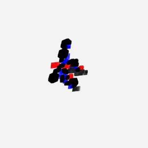 COC(=O)NCC(C)(C)CC(=O)NN(Cc1ccc(-c2ccccn2)cc1)CC(O)C(Cc1ccccc1)NC(=O)C(N1CCN(Cc2cccc(C(C)=O)n2)C1=O)C(C)(C)C